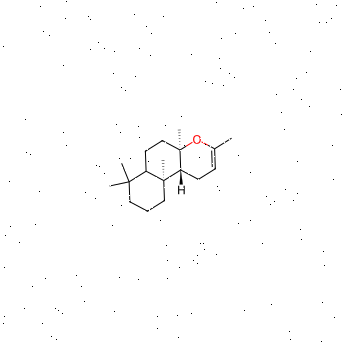 CC1=CC[C@H]2[C@@](C)(CCC3C(C)(C)CCC[C@@]32C)O1